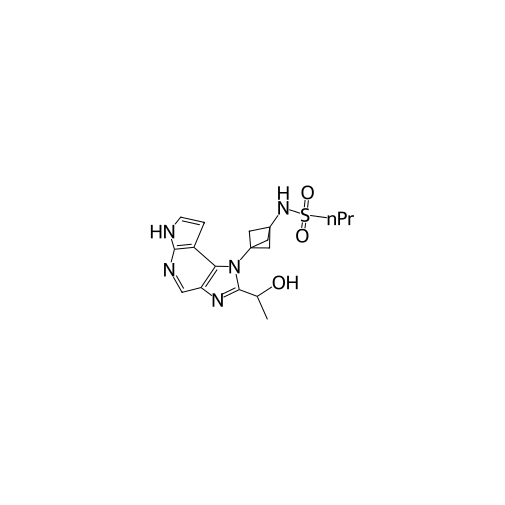 CCCS(=O)(=O)NC12CC(n3c(C(C)O)nc4cnc5[nH]ccc5c43)(C1)C2